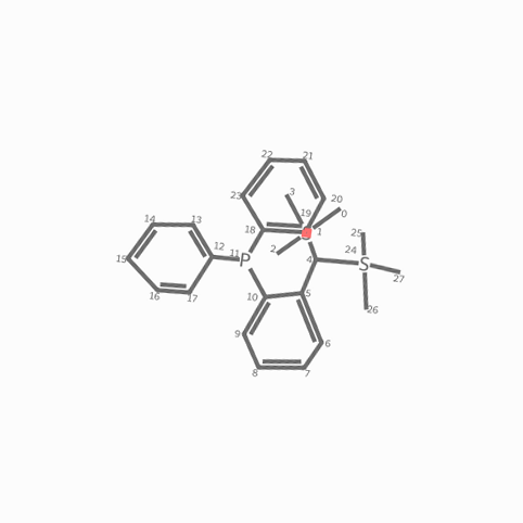 CS(C)(C)C(c1ccccc1P(c1ccccc1)c1ccccc1)S(C)(C)C